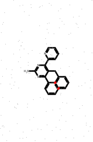 Nc1nc(-c2ccccn2)c(Cc2ccccc2)c(-c2ccccn2)n1